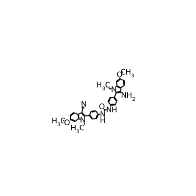 CCn1c(-c2ccc(NC(=O)Nc3ccc(-c4c(C#N)c5ccc(OC)cc5n4CC)cc3)cc2)c(N)c2ccc(OC)cc21